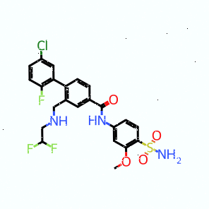 COc1cc(NC(=O)c2ccc(-c3cc(Cl)ccc3F)c(CNCC(F)F)c2)ccc1S(N)(=O)=O